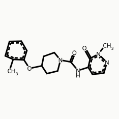 Cc1ccccc1OC1CCN(C(=O)Nc2ccnn(C)c2=O)CC1